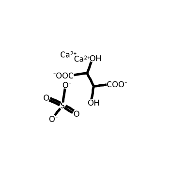 O=C([O-])C(O)C(O)C(=O)[O-].O=S(=O)([O-])[O-].[Ca+2].[Ca+2]